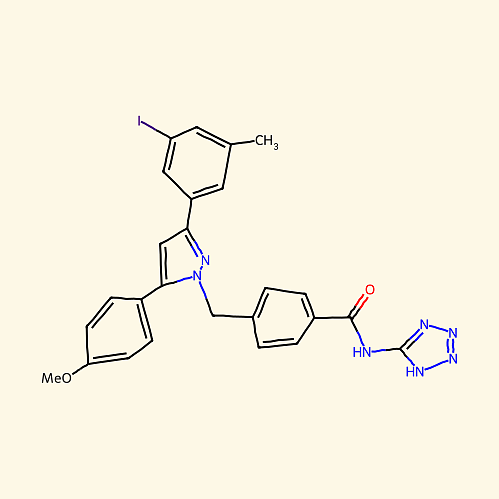 COc1ccc(-c2cc(-c3cc(C)cc(I)c3)nn2Cc2ccc(C(=O)Nc3nnn[nH]3)cc2)cc1